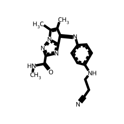 CNC(=O)c1nc2n(n1)C(C)=C(C)C2=Nc1ccc(NCCC#N)cc1